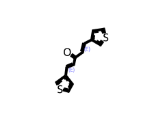 O=C(/C=C/c1ccsc1)/C=C/c1ccsc1